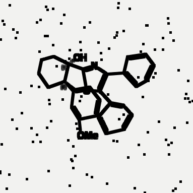 COc1cccc([C@H]2CCCC[C@@]2(O)c2nc(-c3ccccc3)c(-c3ccccc3)o2)c1